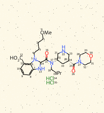 COCCCCN1c2c(cccc2C(=O)O)NC1C(=O)N(CC(C)C)[C@@H]1CNC[C@H](C(=O)N2CCOCC2)C1.Cl.Cl